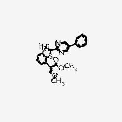 COC=C(C(=O)OC)c1cccc(C)c1SC(C)c1ncc(-c2ccccc2)cn1